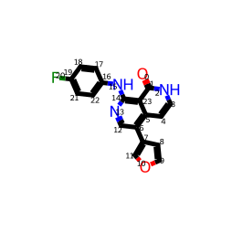 O=c1[nH]ccc2c(-c3ccoc3)cnc(Nc3ccc(F)cc3)c12